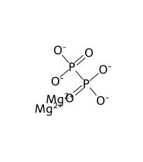 O=P([O-])([O-])P(=O)([O-])[O-].[Mg+2].[Mg+2]